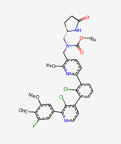 COc1cc(-c2nccc(-c3cccc(-c4ccc(CN(C[C@@H]5CCC(=O)N5)C(=O)OC(C)(C)C)c(OC)n4)c3Cl)c2Cl)cc(F)c1C=O